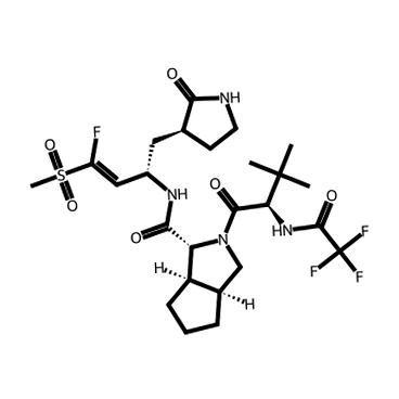 CC(C)(C)[C@@H](NC(=O)C(F)(F)F)C(=O)N1C[C@H]2CCC[C@H]2[C@@H]1C(=O)N[C@H](/C=C(\F)S(C)(=O)=O)C[C@@H]1CCNC1=O